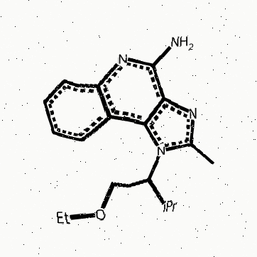 CCOCC(C(C)C)n1c(C)nc2c(N)nc3ccccc3c21